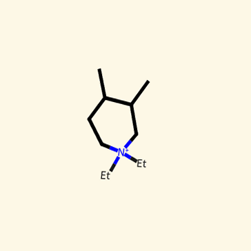 CC[N+]1(CC)CCC(C)C(C)C1